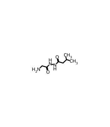 CC(C)CC(=O)NNC(=O)CN